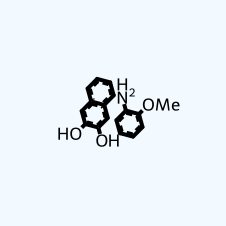 COc1ccccc1N.Oc1cc2ccccc2cc1O